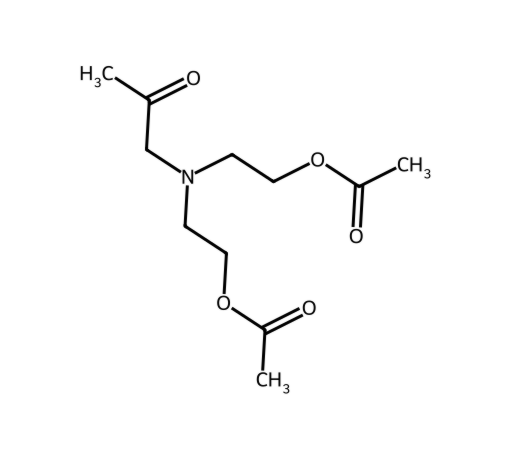 CC(=O)CN(CCOC(C)=O)CCOC(C)=O